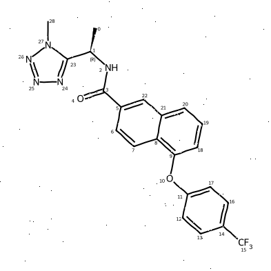 C[C@@H](NC(=O)c1ccc2c(Oc3ccc(C(F)(F)F)cc3)cccc2c1)c1nnnn1C